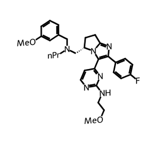 CCCN(Cc1cccc(OC)c1)C[C@@H]1CCc2nc(-c3ccc(F)cc3)c(-c3ccnc(NCCOC)n3)n21